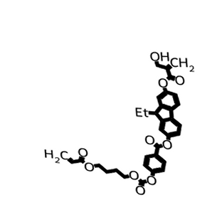 C=CC(=O)OCCCCOC(=O)Oc1ccc(C(=O)Oc2ccc3c(c2)C(CC)c2cc(OC(=O)C(=C)CO)ccc2-3)cc1